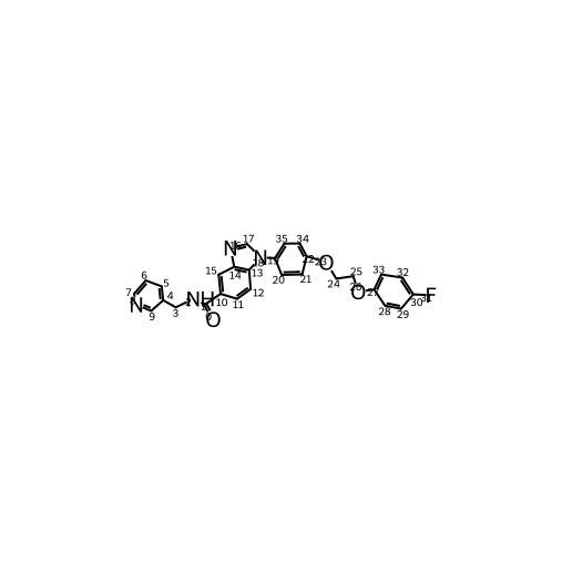 O=C(NCc1cccnc1)c1ccc2c(c1)ncn2-c1ccc(OCCOc2ccc(F)cc2)cc1